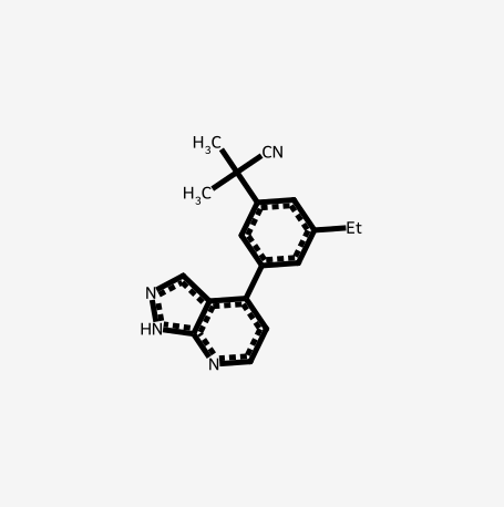 CCc1cc(-c2ccnc3[nH]ncc23)cc(C(C)(C)C#N)c1